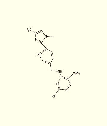 COc1cnc(Cl)nc1NCc1ccc(-c2nc(C(F)(F)F)cn2C)nc1